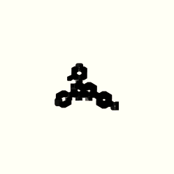 C[C@H]1COCCN1c1nc(N2CCOCC2)nc2nc(-c3ccc(Cl)cc3)ccc12